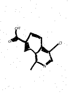 Cc1ncc(Cl)c2ccc(C(=O)O)cc12